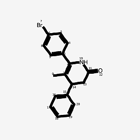 CC1=C(c2ccc(Br)cc2)NC(=O)CC1c1ccccc1